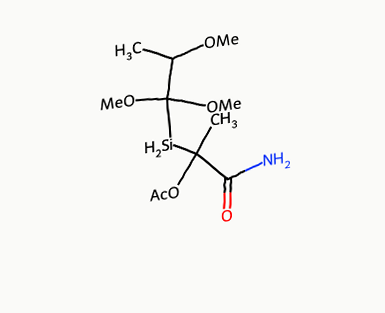 COC(C)C(OC)(OC)[SiH2]C(C)(OC(C)=O)C(N)=O